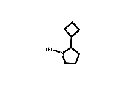 CC(C)(C)N1CCCC1C1CCC1